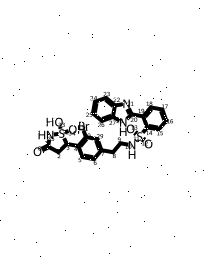 O=C1CC(c2ccc(CCNS(=O)(=O)c3ccccc3-c3nc4ccccc4[nH]3)cc2Br)S(O)(O)N1